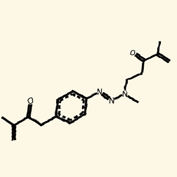 C=C(C)C(=O)CCN(C)N=Nc1ccc(CC(=O)C(=C)C)cc1